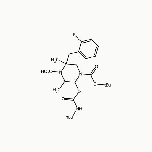 CCCCNC(=O)OC1C(C)N(C(=O)O)C(C)(Cc2ccccc2F)CN1C(=O)OC(C)(C)C